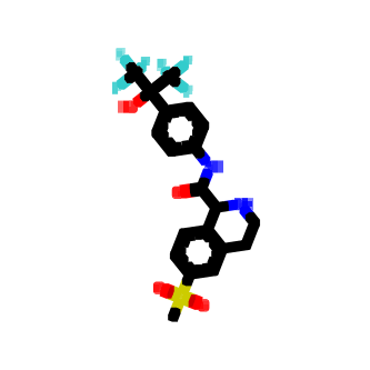 CS(=O)(=O)c1ccc2c(c1)CCNC2C(=O)Nc1ccc(C(O)(C(F)(F)F)C(F)(F)F)cc1